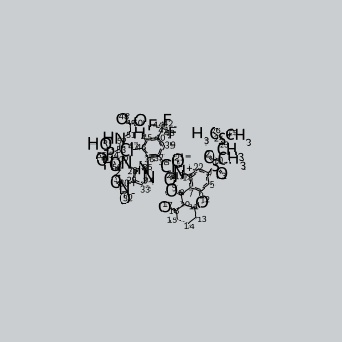 CS(=O)(=O)c1ccc(C(=O)C2C(=O)CCCC2=O)c([N+](=O)[O-])c1.C[S+](C)C.Nc1c([N+](=O)[O-])cnn1-c1c(Cl)cc(C(F)(F)F)cc1Cl.O=C(O)CNCP(=O)([O-])O